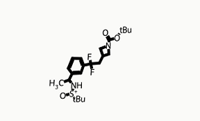 CC(N[S@@+]([O-])C(C)(C)C)c1cccc(C(F)(F)CC2CN(C(=O)OC(C)(C)C)C2)c1